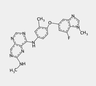 CNc1ncc2ncnc(Nc3ccc(Oc4cc(F)c5c(c4)ncn5C)c(C)c3)c2n1